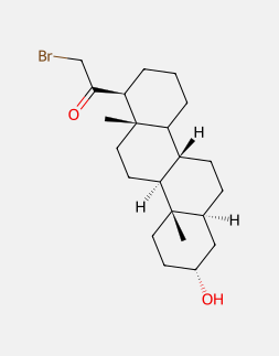 C[C@]12CC[C@@H](O)C[C@@H]1CC[C@H]1C3CCC[C@H](C(=O)CBr)[C@@]3(C)CC[C@@H]12